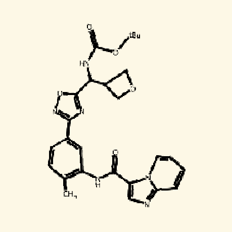 Cc1ccc(-c2noc(C(NC(=O)OC(C)(C)C)C3COC3)n2)cc1NC(=O)c1cnc2ccccn12